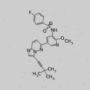 COc1ncc(-c2ccc3ncc(C#CC(C)(C)C)n3n2)cc1NS(=O)(=O)c1ccc(F)cc1